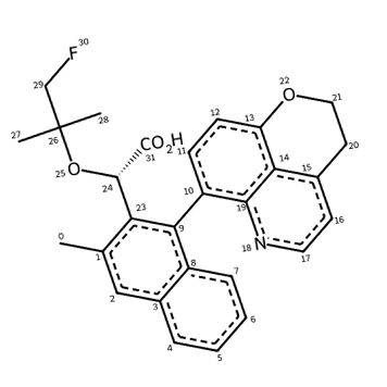 Cc1cc2ccccc2c(-c2ccc3c4c(ccnc24)CCO3)c1[C@H](OC(C)(C)CF)C(=O)O